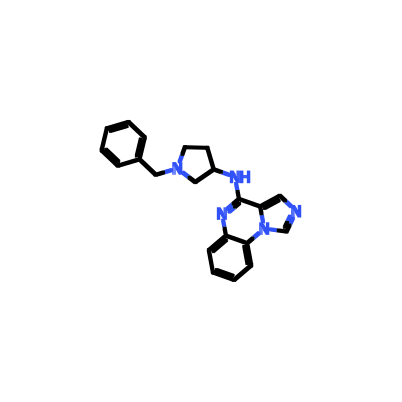 c1ccc(CN2CCC(Nc3nc4ccccc4n4cncc34)C2)cc1